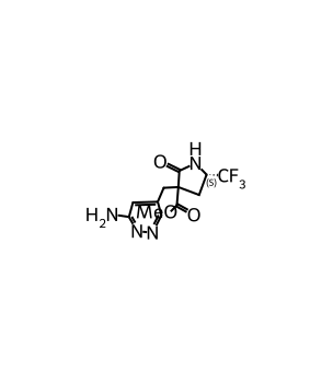 COC(=O)C1(Cc2cnnc(N)c2)C[C@@H](C(F)(F)F)NC1=O